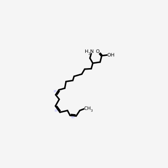 CC/C=C\C/C=C\C/C=C\CCCCCCCC(CN)CC(=O)O